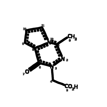 Cc1nn(CC(=O)O)c(=O)c2cccn12